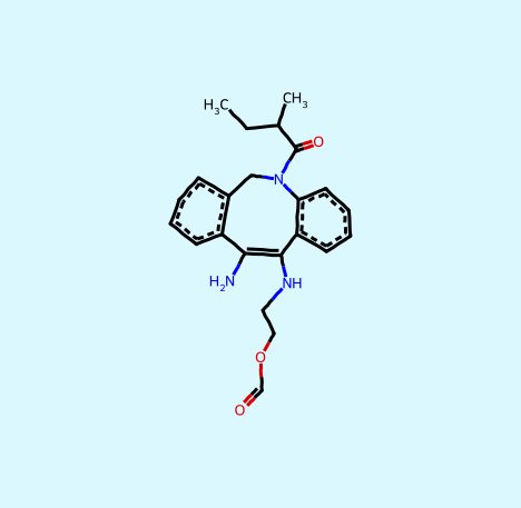 CCC(C)C(=O)N1Cc2ccccc2/C(N)=C(/NCCOC=O)c2ccccc21